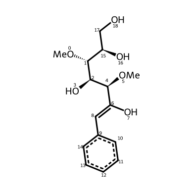 CO[C@@H]([C@H](O)[C@@H](OC)C(O)=Cc1ccccc1)[C@H](O)CO